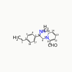 C=Cc1ccc(C(=N)CN2C(C=O)=CC=C[C@H]2C)cc1